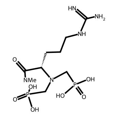 CNC(=O)[C@H](CCCNC(=N)N)N(CP(=O)(O)O)CP(=O)(O)O